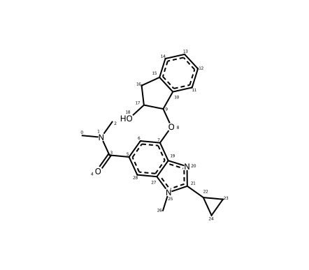 CN(C)C(=O)c1cc(OC2c3ccccc3CC2O)c2nc(C3CC3)n(C)c2c1